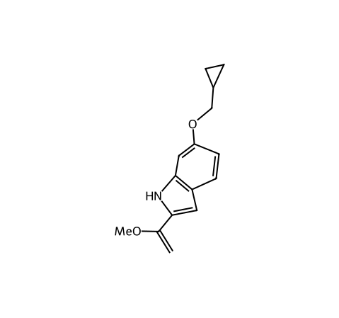 C=C(OC)c1cc2ccc(OCC3CC3)cc2[nH]1